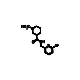 O=C(NCc1cccc(Br)n1)[C@@H]1CCCN(C(=O)O)C1